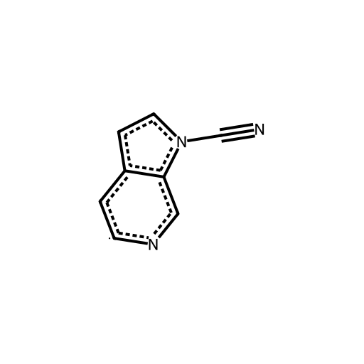 N#Cn1ccc2c[c]ncc21